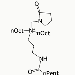 CCCCCCCC[N+](CCCCCCCC)(CCCNC(=O)CCCCC)CN1CCCC1=O